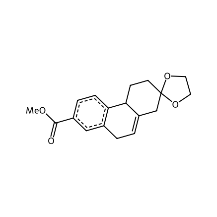 COC(=O)c1ccc2c(c1)CC=C1CC3(CCC12)OCCO3